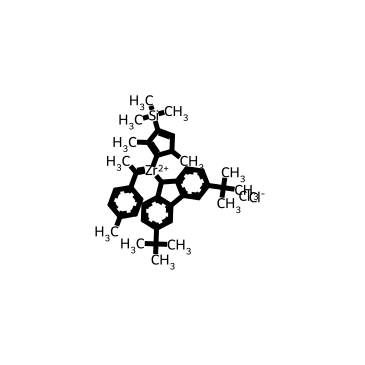 CC1=[C](/[Zr+2](=[C](\C)c2ccc(C)cc2)[CH]2c3ccc(C(C)(C)C)cc3-c3cc(C(C)(C)C)ccc32)C(C)C=C1[Si](C)(C)C.[Cl-].[Cl-]